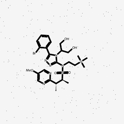 COc1cnc([C@@H](C)[C@H](C)S(=O)(=O)N(CC[Si](C)(C)C)c2nnc(-c3ccccc3Br)n2C(CO)CO)nc1